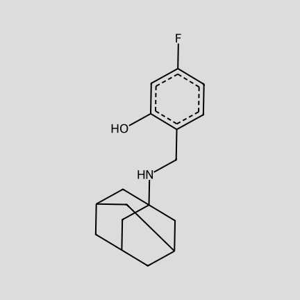 Oc1cc(F)ccc1CNC12CC3CC(CC(C3)C1)C2